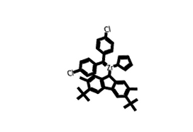 Cc1cc2c(cc1C(C)(C)C)-c1cc(C(C)(C)C)c(C)cc1[CH]2[Zr](=[C](c1ccc(Cl)cc1)c1ccc(Cl)cc1)[CH]1C=CC=C1